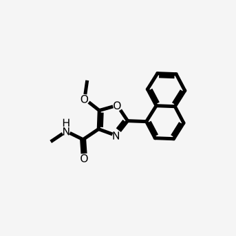 CNC(=O)c1nc(-c2cccc3ccccc23)oc1OC